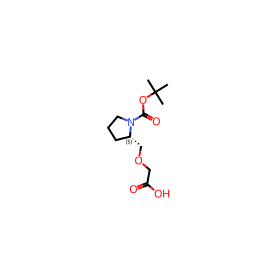 CC(C)(C)OC(=O)N1CCC[C@H]1COCC(=O)O